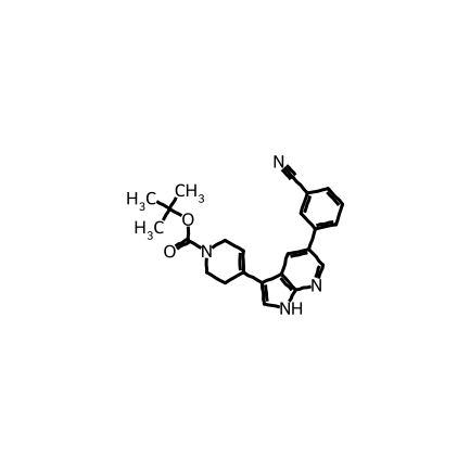 CC(C)(C)OC(=O)N1CC=C(c2c[nH]c3ncc(-c4cccc(C#N)c4)cc23)CC1